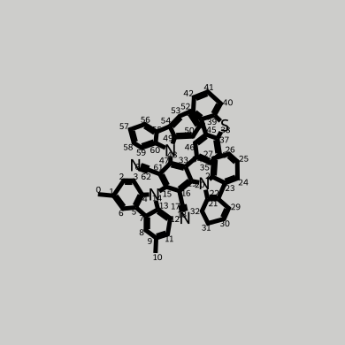 Cc1ccc2c(c1)c1cc(C)ccc1n2-c1c(C#N)c(-n2c3c(c4ccccc42)C=CCC3)c(-c2ccc3sc4ccccc4c3c2)c(-n2c3ccccc3c3ccccc32)c1C#N